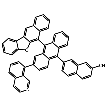 N#Cc1ccc2ccc(-c3c4ccccc4c(-c4c5ccccc5cc5c4oc4ccccc45)c4cc(-c5cccc6ccncc56)ccc34)cc2c1